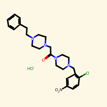 Cl.O=C(CN1CCN(CCc2ccccc2)CC1)N1CCN(Cc2cc([N+](=O)[O-])ccc2Cl)CC1